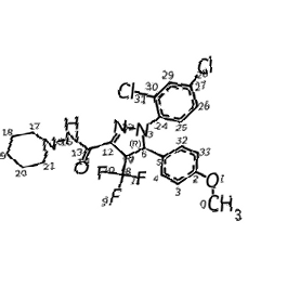 COc1ccc([C@H]2[C@@H](C(F)(F)F)C(C(=O)NN3CCCCC3)=NN2c2ccc(Cl)cc2Cl)cc1